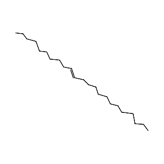 CCCCCCCCCC=CCCCCCCCCCCCC